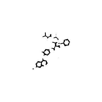 COc1ccc2c(Oc3ccc(NC(=O)c4c(C)n(C[C@H](C)OC(=O)C(N)C(C)C)n(-c5ccccc5)c4=O)cc3F)ccnc2c1.Cl